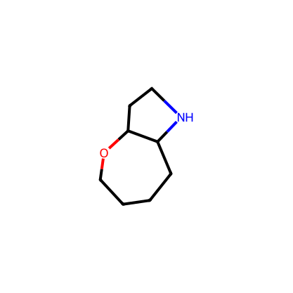 C1CCC2NCCC2OC1